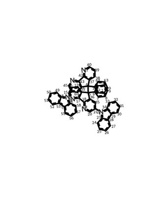 c1ccc(C2(C3(c4ccccc4)c4cccnc4-c4ncc(-n5c6ccccc6c6ccccc65)cc43)c3cccnc3-c3ncc(-n4c5ccccc5c5ccccc54)cc32)cc1